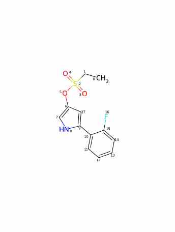 CCS(=O)(=O)Oc1c[nH]c(-c2ccccc2F)c1